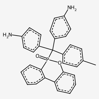 Cc1ccc(C(c2ccc(N)cc2)(c2ccc(N)cc2)P2(=O)Oc3ccccc3-c3ccccc32)cc1